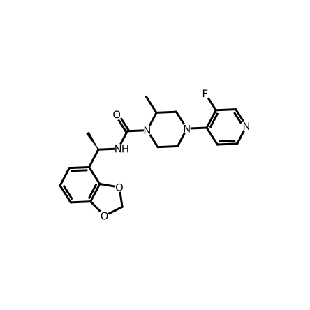 CC1CN(c2ccncc2F)CCN1C(=O)N[C@H](C)c1cccc2c1OCO2